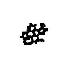 COc1cc(F)cc2c3c(-c4nn[nH]c4C(F)(F)F)ccnc3c3ncn(C)c3c12